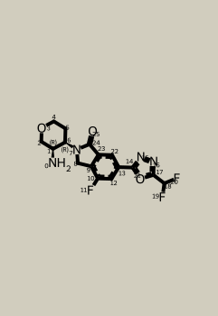 N[C@H]1COCC[C@H]1N1Cc2c(F)cc(-c3nnc(C(F)F)o3)cc2C1=O